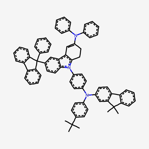 CC(C)(C)c1ccc(N(c2ccc(-n3c4c(c5cc(C6(c7ccccc7)c7ccccc7-c7ccccc76)ccc53)C=C(N(c3ccccc3)c3ccccc3)CC4)cc2)c2ccc3c(c2)C(C)(C)c2ccccc2-3)cc1